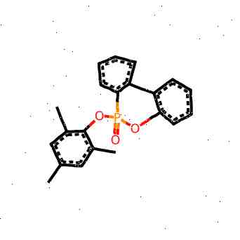 Cc1cc(C)c(OP2(=O)Oc3ccccc3-c3ccccc32)c(C)c1